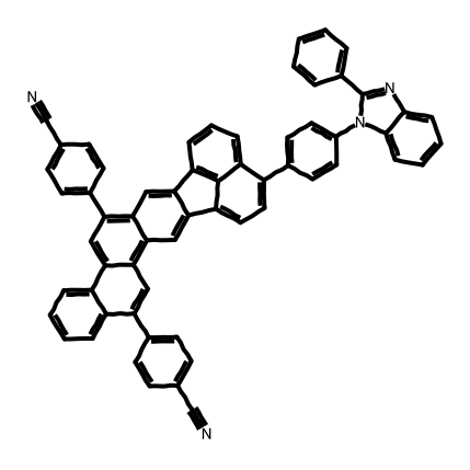 N#Cc1ccc(-c2cc3c4cc5c(cc4c(-c4ccc(C#N)cc4)cc3c3ccccc23)-c2cccc3c(-c4ccc(-n6c(-c7ccccc7)nc7ccccc76)cc4)ccc-5c23)cc1